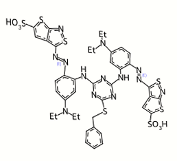 CCN(CC)c1ccc(/N=N/c2snc3sc(S(=O)(=O)O)cc23)c(Nc2nc(Nc3cc(N(CC)CC)ccc3/N=N/c3snc4sc(S(=O)(=O)O)cc34)nc(SCc3ccccc3)n2)c1